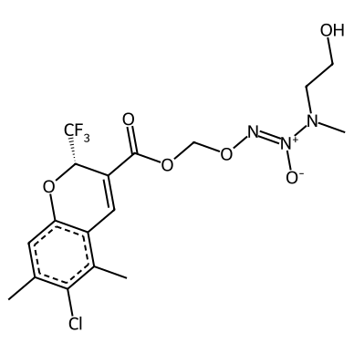 Cc1cc2c(c(C)c1Cl)C=C(C(=O)OCO/N=[N+](\[O-])N(C)CCO)[C@@H](C(F)(F)F)O2